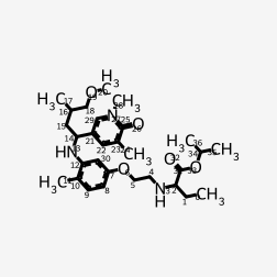 CCC(NCCOc1ccc(C)c(NC(CC(C)COC)c2cc(C)c(=O)n(C)c2)c1)C(=O)OC(C)C